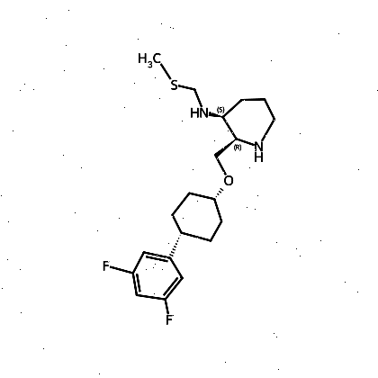 CSCN[C@H]1CCCN[C@H]1CO[C@H]1CC[C@@H](c2cc(F)cc(F)c2)CC1